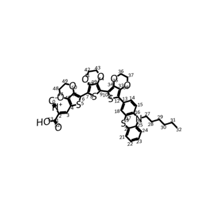 [C-]#[N+]/C(=C\c1sc(-c2sc(-c3sc(-c4ccc5c(c4)Sc4ccccc4N5CCCCCC)c4c3OCCO4)c3c2OCCO3)c2c1OCCO2)C(=O)O